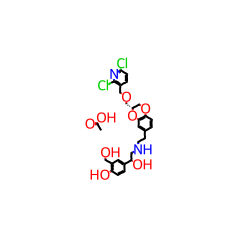 CC(=O)O.OCc1cc([C@@H](O)CNCCc2ccc3c(c2)O[C@H](COCc2ccc(Cl)nc2Cl)CO3)ccc1O